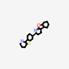 c1ccc2c(c1)oc1nc(-c3ccc4c(c3)sc3cccnc34)ccc12